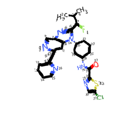 CC(C)C(F)c1nc2cnc(-c3ccccn3)cc2n1[C@@H]1CCC[C@H](NC(=O)c2ncc(Cl)s2)C1